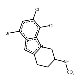 O=C(O)NC1CCc2cc3c(Br)cc(Cl)c(Cl)c3n2C1